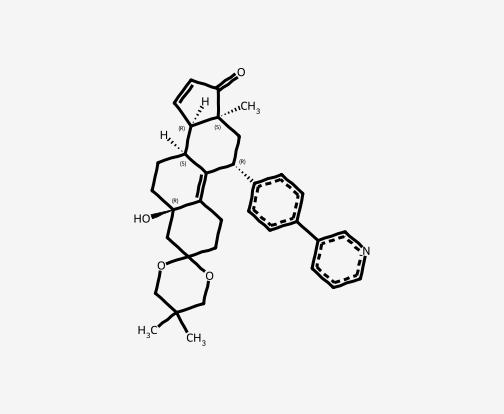 CC1(C)COC2(CCC3=C4[C@@H](CC[C@@]3(O)C2)[C@H]2C=CC(=O)[C@@]2(C)C[C@@H]4c2ccc(-c3cccnc3)cc2)OC1